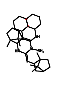 CC1(C)C2CCC1(C)C(N=C(NC1CC3CCC1(C)C3(C)C)N(N)C(=NC1CCCCC1)NC1CCCCC1)C2